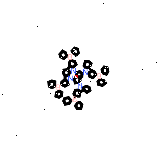 c1ccc(B(c2ccccc2)c2ccc3c(c2)c2ccccc2n3-c2cccc(-n3c4ccc(B(c5ccccc5)c5ccccc5)cc4c4ccc5c6cc(B(c7ccccc7)c7ccccc7)ccc6n(-c6cccc(-n7c8ccccc8c8cc(B(c9ccccc9)c9ccccc9)ccc87)c6)c5c43)c2)cc1